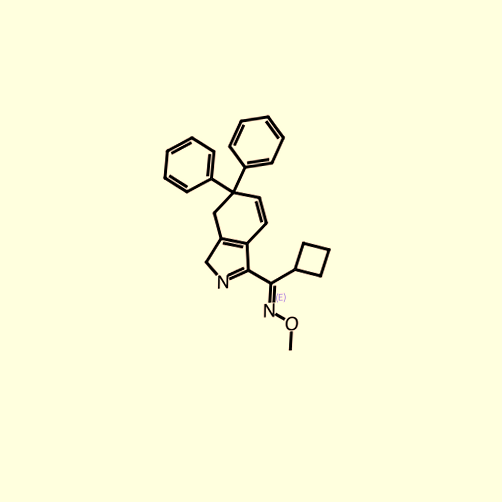 CO/N=C(/C1=NCC2=C1C=CC(c1ccccc1)(c1ccccc1)C2)C1CCC1